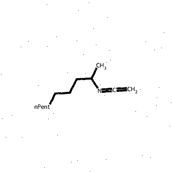 C=C=NC(C)CCCCCCCC